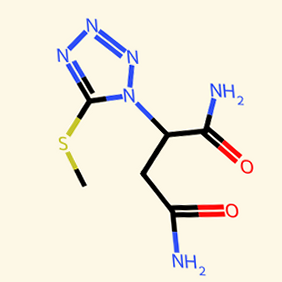 CSc1nnnn1C(CC(N)=O)C(N)=O